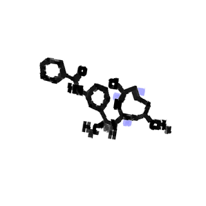 CC1\C=C(N[C@@H](C)c2cccc(NC(=O)c3ccccc3)c2)/N=C(Cl)\C=C\C1